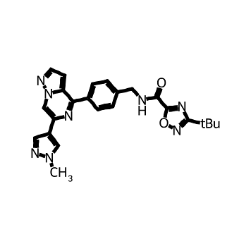 Cn1cc(-c2cn3nccc3c(-c3ccc(CNC(=O)c4nc(C(C)(C)C)no4)cc3)n2)cn1